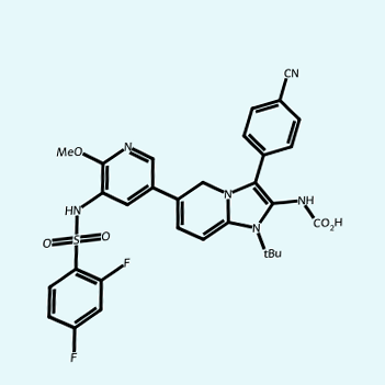 COc1ncc(C2=CC=C3N(C2)C(c2ccc(C#N)cc2)=C(NC(=O)O)N3C(C)(C)C)cc1NS(=O)(=O)c1ccc(F)cc1F